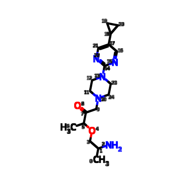 CC(N)COC(C)C(=O)CN1CCN(c2ncc(C3CC3)cn2)CC1